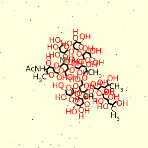 CC(=O)NC1[C@H](O[C@@H]2C(CO)O[C@@H](C)C(NC(C)=O)[C@H]2O)OC(CO)[C@@H](O[C@H](O)C(O)[C@@H](O[C@H]2O[C@@H](CO)[C@@H](O)C(O)C2O[C@H]2O[C@@H](CO)[C@@H](O)C(O)C2O[C@H]2O[C@@H](CO)[C@@H](O)C(O)C2O)[C@H](O)C(C)CO[C@@H](O)C(O)[C@@H](O[C@H]2O[C@@H](CO)[C@@H](O)C(O)C2O[C@H]2O[C@@H](CO)[C@@H](O)C(O)C2O)[C@H](O)C(C)CO[C@@H](O)C(O[C@@H](O)C(O)[C@@H](O)[C@H](O)C(C)CO)[C@@H](O)[C@H](O)C(C)CO)[C@@H]1O